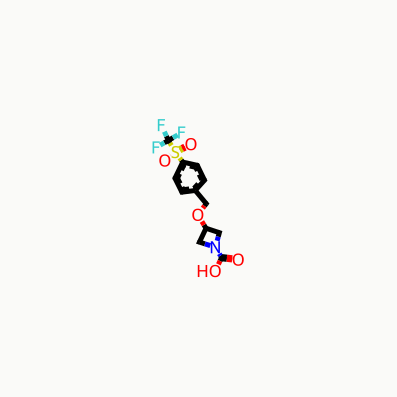 O=C(O)N1CC(OCc2ccc(S(=O)(=O)C(F)(F)F)cc2)C1